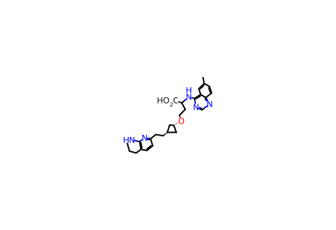 Cc1ccc2ncnc(NC(CCO[C@H]3C[C@H](CCc4ccc5c(n4)NCCC5)C3)C(=O)O)c2c1